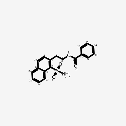 NS(=O)(=O)c1c(CCOC(=O)c2ccccc2)ccc2ccccc12